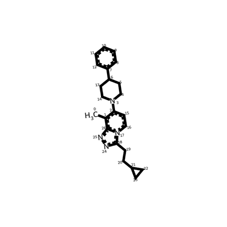 Cc1c(N2CCC(c3ccccc3)CC2)ccn2c(CCC3CC3)nnc12